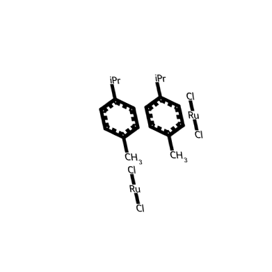 Cc1ccc(C(C)C)cc1.Cc1ccc(C(C)C)cc1.[Cl][Ru][Cl].[Cl][Ru][Cl]